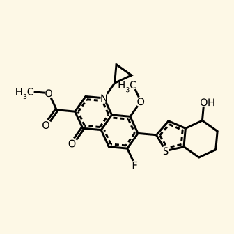 COC(=O)c1cn(C2CC2)c2c(OC)c(-c3cc4c(s3)CCCC4O)c(F)cc2c1=O